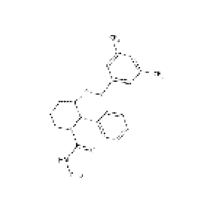 O=CNC(=O)N1CCCC(OCc2cc(C(F)(F)F)cc(C(F)(F)F)c2)C1c1ccccc1